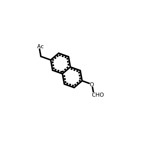 CC(=O)Cc1ccc2cc(OC=O)ccc2c1